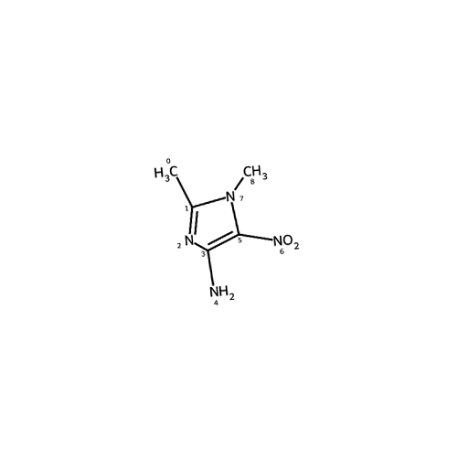 Cc1nc(N)c([N+](=O)[O-])n1C